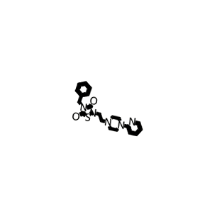 O=c1sn(CCN2CCN(c3ccccn3)CC2)c(=O)n1Cc1ccccc1